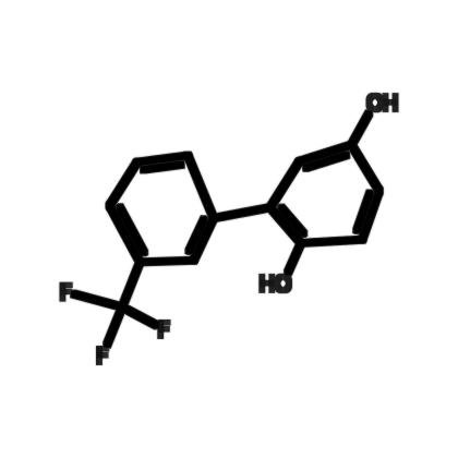 Oc1ccc(O)c(-c2cccc(C(F)(F)F)c2)c1